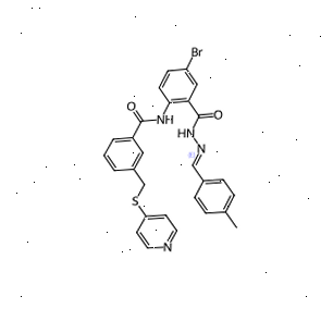 Cc1ccc(/C=N/NC(=O)c2cc(Br)ccc2NC(=O)c2cccc(CSc3ccncc3)c2)cc1